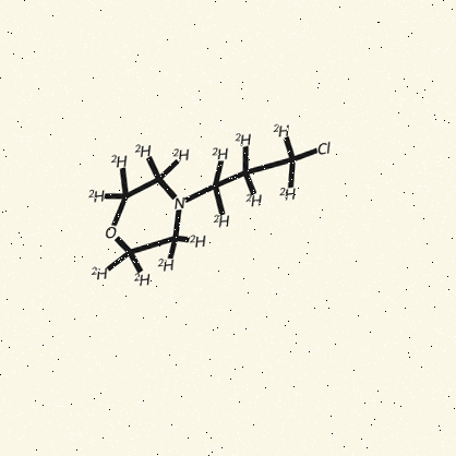 [2H]C([2H])(Cl)C([2H])([2H])C([2H])([2H])N1C([2H])([2H])C([2H])([2H])OC([2H])([2H])C1([2H])[2H]